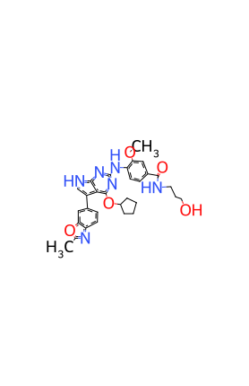 COc1cc(C(=O)NCCCO)ccc1Nc1nc(OC2CCCC2)c2c(-c3ccc4nc(C)oc4c3)c[nH]c2n1